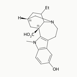 CCC1C[C@@H]2CN3CCc4c(n(C)c5ccc(O)cc45)[C@](C(=O)O)(C2)C13